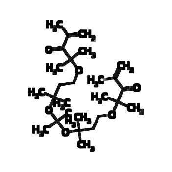 C=C(C)C(=O)C(C)(C)OCCC(C)(C)OC(C)(C)OC(C)(C)CCOC(C)(C)C(=O)C(=C)C